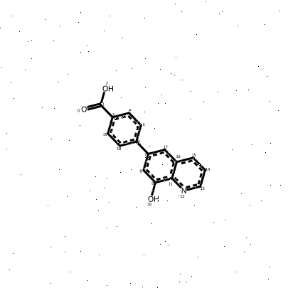 O=C(O)c1ccc(-c2cc(O)c3ncccc3c2)cc1